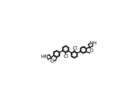 Clc1c(-c2ccc3c(c2)COC32CNC2)cccc1-c1cccc(-c2ccc3c(c2)COC32CNC2)c1Cl